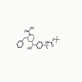 C[C@H](NC(=O)OC(C)(C)C)c1ccc(C(O)C2CCN(C(=O)O)C(Cc3ccccc3)C2)cc1